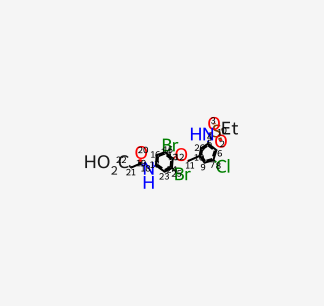 CCS(=O)(=O)Nc1cc(Cl)cc(COc2c(Br)cc(NC(=O)CC(=O)O)cc2Br)c1